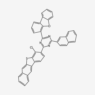 Clc1c(-c2nc(-c3ccc4ccccc4c3)nc(-c3cccc4c3oc3ccccc34)n2)ccc2c1sc1cc3ccccc3cc12